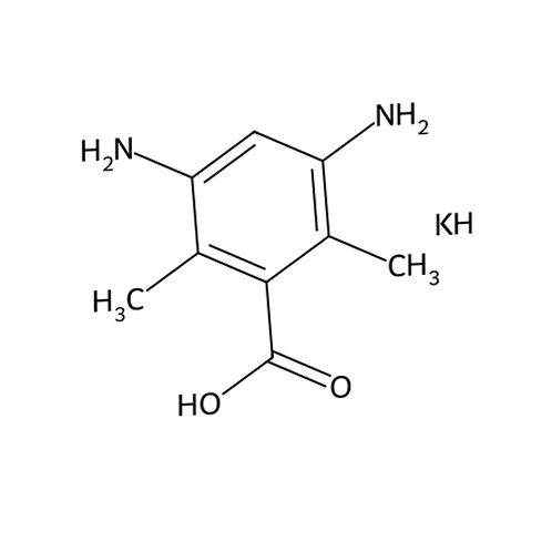 Cc1c(N)cc(N)c(C)c1C(=O)O.[KH]